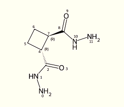 NNC(=O)[C@@H]1CC[C@H]1C(=O)NN